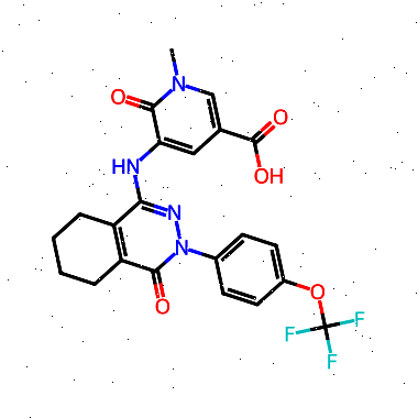 Cn1cc(C(=O)O)cc(Nc2nn(-c3ccc(OC(F)(F)F)cc3)c(=O)c3c2CCCC3)c1=O